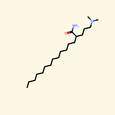 CCCCCCCCCCCCCC(CCCN(C)C)C(N)=O